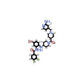 Nc1cc(CN2CCC(C(=O)N3CCC(Nc4ccc(Br)cc4NC(=O)c4ccc(F)c(F)c4)CC3)CC2)ccn1